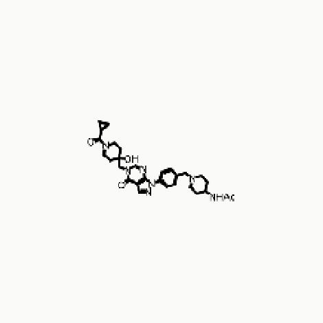 CC(=O)NC1CCN(Cc2ccc(-n3ncc4c(=O)n(CC5(O)CCN(C(=O)C6CC6)CC5)cnc43)cc2)CC1